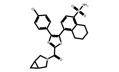 NS(=O)(=O)c1ccc(-c2sc(C(=O)N3CC4CC4C3)nc2-c2ccc(Cl)cc2)c2c1CCCC2